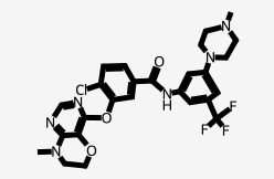 CN1CCN(c2cc(NC(=O)c3ccc(Cl)c(Oc4ncnc5c4OCCN5C)c3)cc(C(F)(F)F)c2)CC1